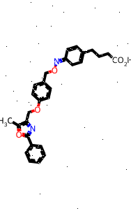 Cc1oc(-c2ccccc2)nc1COc1ccc(CO/N=C2/C=CC(CCCC(=O)O)=CC2)cc1